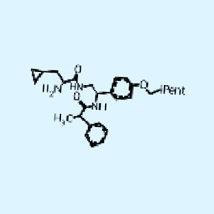 CCCC(C)COc1ccc([C@H](CNC(=O)[C@@H](N)CC2CC2)NC(=O)C(C)c2ccccc2)cc1